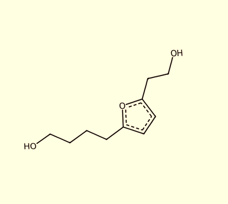 OCCCCc1ccc(CCO)o1